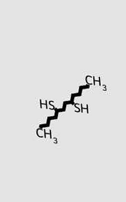 CCCCCC(S)CCC(S)CCCCC